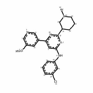 COc1cncc(-c2cc(Nc3cccc(Cl)c3)nc(C3CCCN(C(C)=O)C3)n2)c1